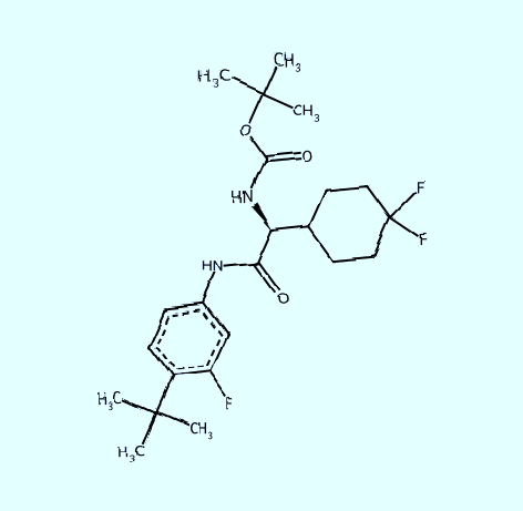 CC(C)(C)OC(=O)N[C@H](C(=O)Nc1ccc(C(C)(C)C)c(F)c1)C1CCC(F)(F)CC1